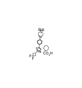 O=C(O)[C@@H]1CCCC[C@H]1c1nc(C2CC(F)(F)C2)sc1-c1ccc(N2CCS(=O)(=O)CC2)cc1